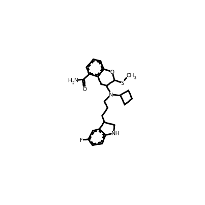 CSC1Oc2cccc(C(N)=O)c2CC1N(CCCC1CNc2ccc(F)cc21)C1CCC1